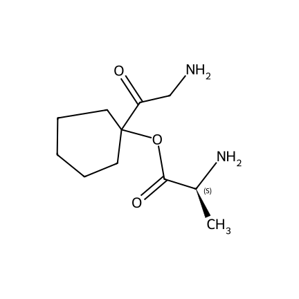 C[C@H](N)C(=O)OC1(C(=O)CN)CCCCC1